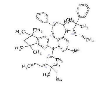 C=C/C=C(\C=C(/C)N(c1ccc2c(c1)C(C)(C)CC2(C)C)c1cc(C(C)(C)C)cc2c1/C=C\C(c1ccccc1)=C/C(=C)N2/C(=C/C=C)C(C)(C)c1ccccc1)C(C)(C)CC(C)(C)C